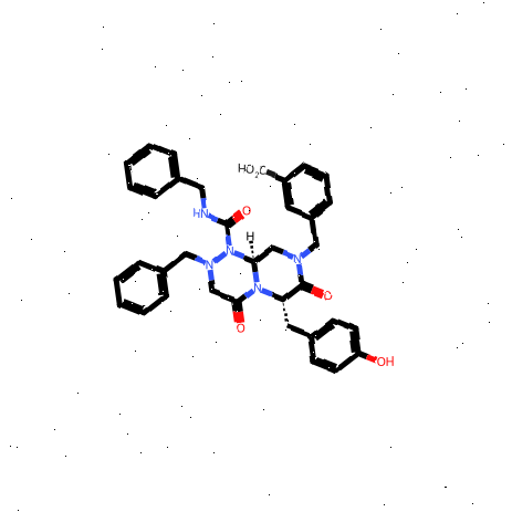 O=C(O)c1cccc(CN2C[C@H]3N(C(=O)CN(Cc4ccccc4)N3C(=O)NCc3ccccc3)[C@@H](Cc3ccc(O)cc3)C2=O)c1